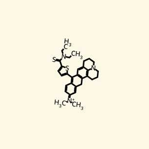 CCN(CC)C(=S)c1ccc(C2=C3C=CC(=[N+](C)C)C=C3Cc3c2cc2c4c3CCCN4CCC2)s1